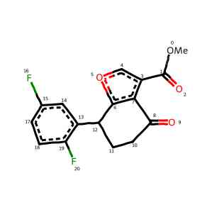 COC(=O)c1coc2c1C(=O)CCC2c1cc(F)ccc1F